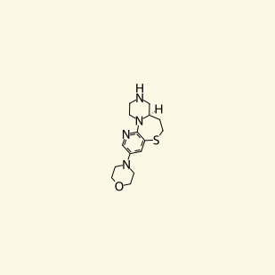 c1nc2c(cc1N1CCOCC1)SCC[C@@H]1CNCCN21